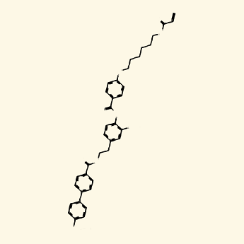 C=CC(=O)OCCCCCCOc1ccc(C(=O)Oc2ccc(CCOC(=O)c3ccc(-c4ccc(CCCCC)cc4)cc3)cc2C=O)cc1